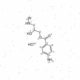 CC(C)NCC(O)COC(=O)c1ccc(N)cc1.Cl